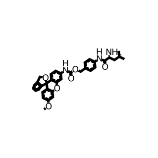 COc1ccc2c(c1)Oc1cc(NC(=O)OCc3ccc(NC(=O)[C@@H](N)CC(C)C)cc3)ccc1C21OCc2ccccc21